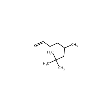 CC(CCC=O)CC(C)(C)C